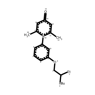 CCCCC(CC)COc1cccc(-n2c(C)cc(=O)cc2C)c1